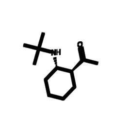 CC(=O)[C@H]1CCCC[C@@H]1NC(C)(C)C